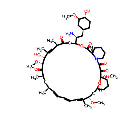 CO[C@H]1C[C@@H]2CC[C@@H](C)[C@@](O)(O2)C(=O)C(=O)N2CCCC[C@H]2C(=O)O[C@H]([C@H](N)C[C@@H]2CC[C@@H](O)[C@H](OC)C2)CC(=O)[C@H](C)/C=C(\C)[C@@H](O)[C@@H](OC)C(=O)[C@H](C)C[C@H](C)/C=C/C=C/C=C/1C